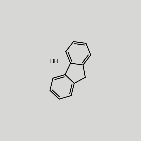 [LiH].c1ccc2c(c1)Cc1ccccc1-2